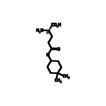 CC1(C)CCC(OC(=O)CC[C@H](N)C(=O)O)CC1